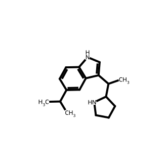 CC(C)c1ccc2[nH]cc(C(C)C3CCCN3)c2c1